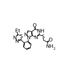 CCc1nnc(-c2ccccc2-n2ncc3c(=O)[nH]c(SCC(N)=O)nc32)s1